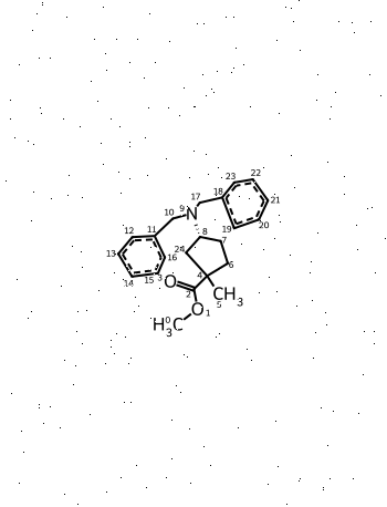 COC(=O)C1(C)CC[C@@H](N(Cc2ccccc2)Cc2ccccc2)C1